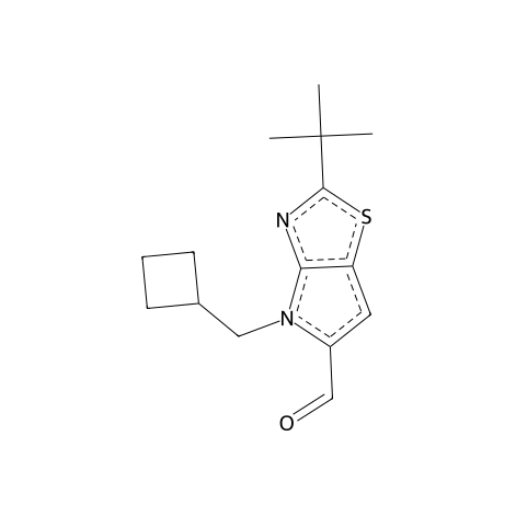 CC(C)(C)c1nc2c(cc(C=O)n2CC2CCC2)s1